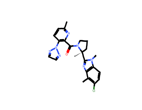 Cc1ccc(-n2nccn2)c(C(=O)N2CCC[C@@]2(C)c2nc3c(C)c(Cl)ccc3n2C)n1